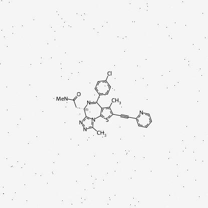 CNC(=O)C[C@@H]1N=C(c2ccc(Cl)cc2)c2c(sc(C#Cc3ccccn3)c2C)-n2c(C)nnc21